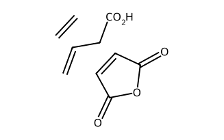 C=C.C=CCC(=O)O.O=C1C=CC(=O)O1